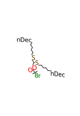 CCCCCCCCCCCCCCCCSCC(COC(=O)C(C)(C)Br)SCCCCCCCCCCCCCCCC